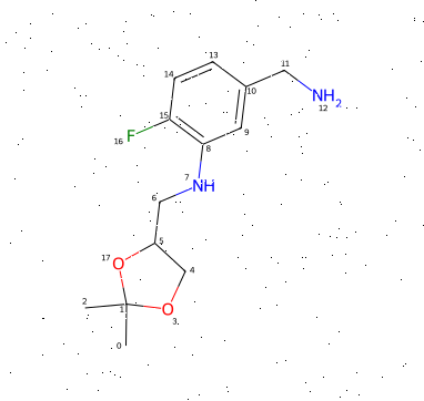 CC1(C)OCC(CNc2cc(CN)ccc2F)O1